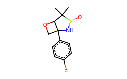 CC1(C)C2OCC2(c2ccc(Br)cc2)N[S+]1[O-]